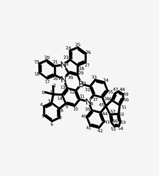 CC1(C)c2ccccc2-c2cc3c4c(c21)-n1c2ccccc2n2c5ccccc5c(c12)B4c1cccc2c1N3c1ccccc1C21c2ccccc2-c2ccccc21